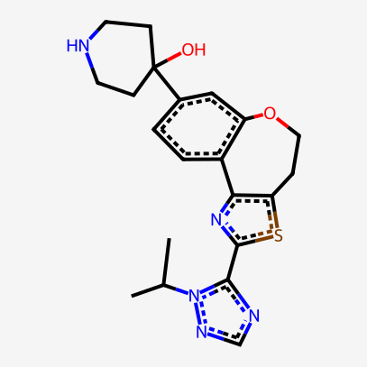 CC(C)n1ncnc1-c1nc2c(s1)CCOc1cc(C3(O)CCNCC3)ccc1-2